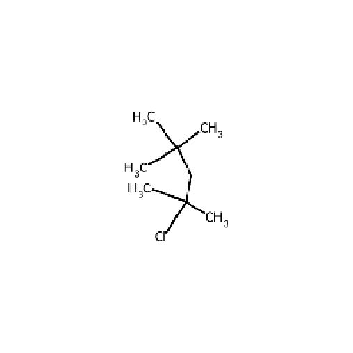 CC(C)(C)CC(C)(C)Cl